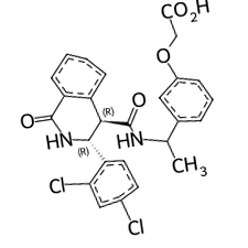 CC(NC(=O)[C@@H]1c2ccccc2C(=O)N[C@H]1c1ccc(Cl)cc1Cl)c1cccc(OCC(=O)O)c1